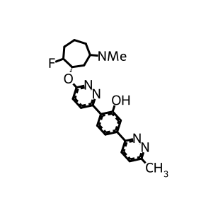 CNC1CCCC(F)[C@@H](Oc2ccc(-c3ccc(-c4ccc(C)nn4)cc3O)nn2)C1